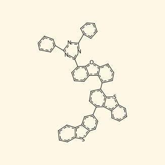 c1ccc(-c2nc(-c3ccccc3)nc(-c3cccc4c3oc3cccc(-c5ccc(-c6ccc7sc8ccccc8c7c6)c6c5sc5ccccc56)c34)n2)cc1